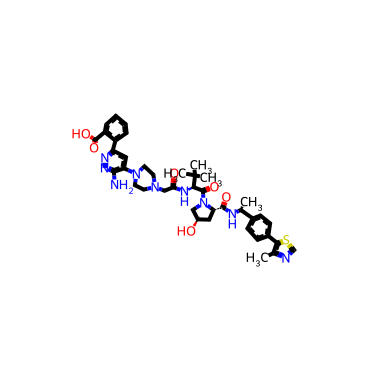 Cc1ncsc1-c1ccc([C@H](C)NC(=O)[C@@H]2C[C@@H](O)CN2C(=O)[C@@H](NC(=O)CN2CCN(c3cc(-c4ccccc4C(=O)O)nnc3N)CC2)C(C)(C)C)cc1